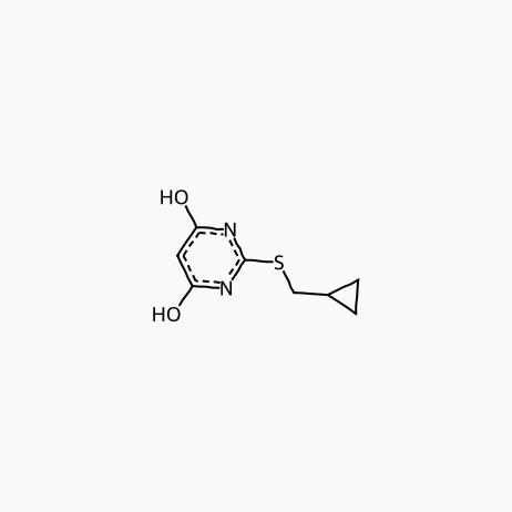 Oc1cc(O)nc(SCC2CC2)n1